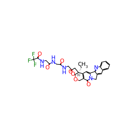 CC[C@@]1(CC(=O)CNC(=O)CNC(=O)CNC(=O)C(F)(F)F)C(=O)OCc2c1cc1n(c2=O)Cc2cc3ccccc3nc2-1